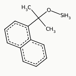 CC(C)(O[SiH3])c1cccc2ccccc12